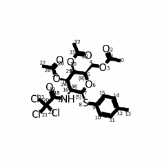 CC(=O)OC[C@H]1O[C@@H](Sc2ccc(C)cc2)[C@H](NC(=O)C(Cl)(Cl)Cl)[C@@H](OC(C)=O)[C@H]1OC(C)=O